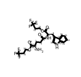 N[C@H](CCC(=O)N[C@H](Cc1c[nH]c2ccccc12)C(=O)OCCC(F)(F)F)C(=O)OCCC(F)(F)F